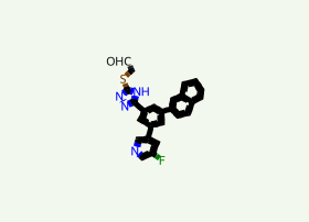 O=CCSc1nnc(-c2cc(-c3cncc(F)c3)cc(-c3ccc4ccccc4c3)c2)[nH]1